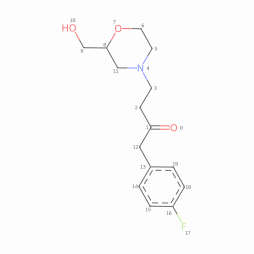 O=C(CCN1CCOC(CO)C1)Cc1ccc(F)cc1